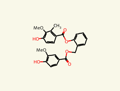 COc1cc(C(=O)OCc2ccccc2OC(=O)c2ccc(O)c(OC)c2C)ccc1O